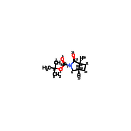 CC(C)(C)OC(=O)N1C[C@H]2CC[C@H]2C1=O